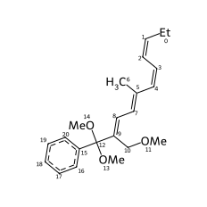 CC\C=C/C=C\C(C)=C\C=C(/COC)C(OC)(OC)c1ccccc1